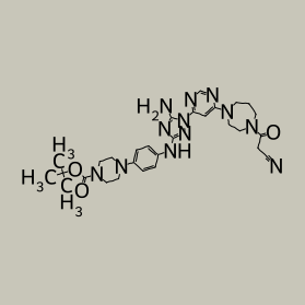 CC(C)(C)OC(=O)N1CCN(c2ccc(Nc3nc(N)n(-c4cc(N5CCCN(C(=O)CC#N)CC5)ncn4)n3)cc2)CC1